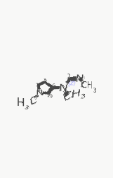 C/N=C\N(C)C1CCN(C)C1